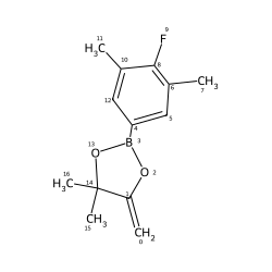 C=C1OB(c2cc(C)c(F)c(C)c2)OC1(C)C